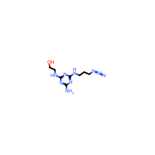 [N-]=[N+]=NCCCNc1nc(N)nc(NCCO)n1